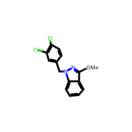 COc1nn(Cc2ccc(Cl)c(Cl)c2)c2ccccc12